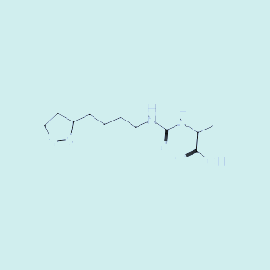 CC(NC(=O)NCCCCC1CCSS1)C(=O)O